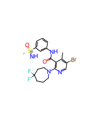 Cc1c(Br)cnc(N2CCCC(F)(F)CC2)c1C(=O)Nc1cccc([S@@](C)(=N)=O)c1